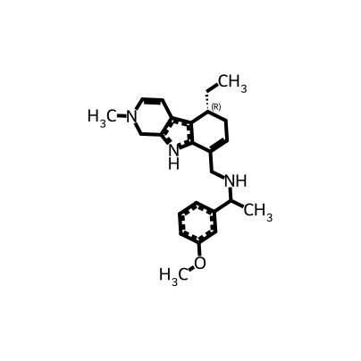 CC[C@@H]1CC=C(CNC(C)c2cccc(OC)c2)c2[nH]c3c(c21)C=CN(C)C3